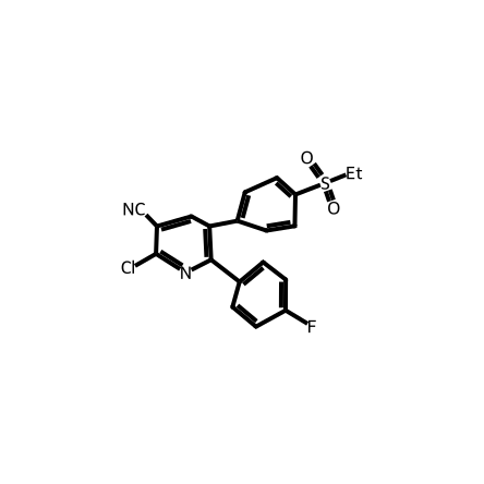 CCS(=O)(=O)c1ccc(-c2cc(C#N)c(Cl)nc2-c2ccc(F)cc2)cc1